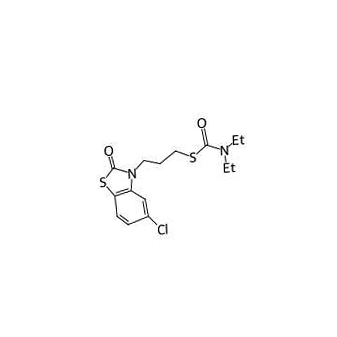 CCN(CC)C(=O)SCCCn1c(=O)sc2ccc(Cl)cc21